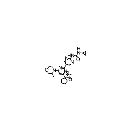 C[C@H]1COCCN1c1cc(C2(S(C)(=O)=O)CCCC2)nc(-c2cnc(NC(=O)NC3CC3)nc2)n1